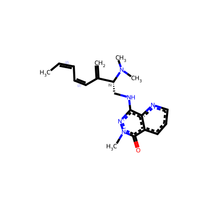 C=C(/C=C\C=C/C)[C@@H](CNc1nn(C)c(=O)c2cccnc12)N(C)C